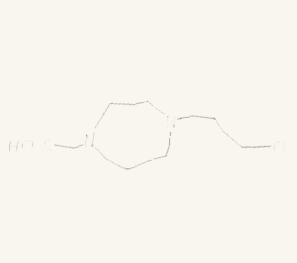 O=C(O)N1CCN(CCCl)CC1